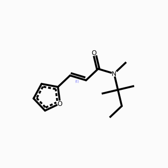 CCC(C)(C)N(C)C(=O)/C=C/c1ccco1